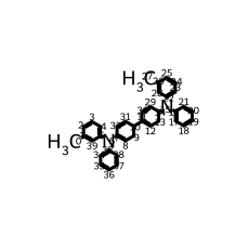 Cc1cccc(N(C2=CCC(C3=CCC(N(c4ccccc4)c4cccc(C)c4)C=C3)C=C2)c2ccccc2)c1